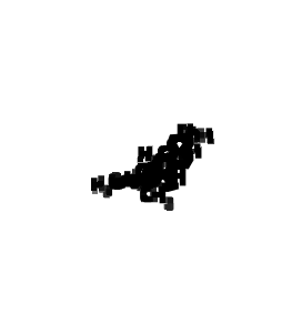 C/C=C/C[C@H](O)[C@@H](C)[C@H]1CC[C@H]2[C@@H]3CC[C@H]4C[C@](O)(CC)CC[C@]4(C)[C@H]3CC[C@]12C